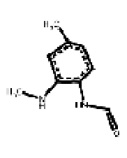 CNc1cc(C)ccc1NC=O